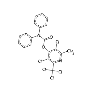 Cc1nc(C(Cl)(Cl)Cl)c(Cl)c(OC(=O)N(c2ccccc2)c2ccccc2)c1Cl